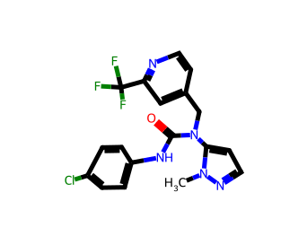 Cn1nccc1N(Cc1ccnc(C(F)(F)F)c1)C(=O)Nc1ccc(Cl)cc1